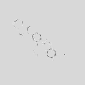 CCOc1cc(NC(=O)[C@H]2CC=CC[C@H]2C(=O)O)ccc1S(=O)(=O)Nc1ccc(C)c(OC(C)(F)P)c1